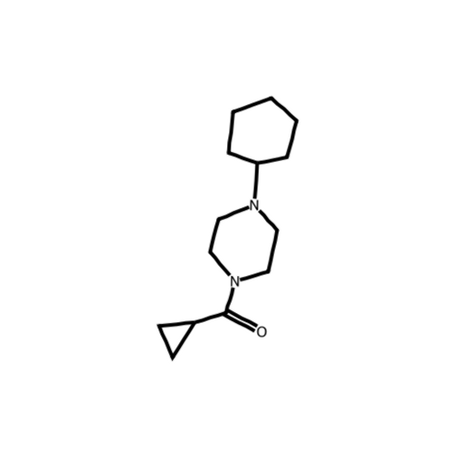 O=C(C1CC1)N1CCN(C2CCCCC2)CC1